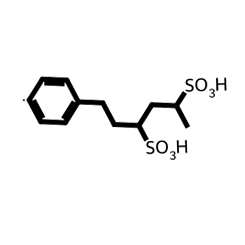 CC(CC(CCc1cc[c]cc1)S(=O)(=O)O)S(=O)(=O)O